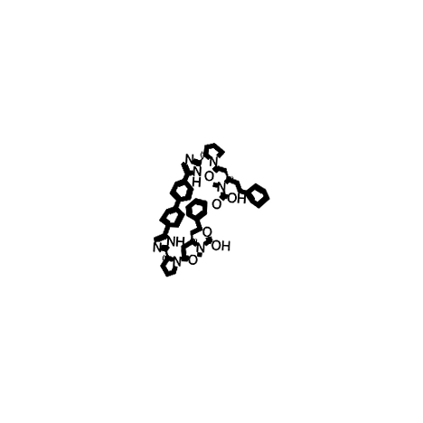 CN(C(=O)O)[C@H](CCc1ccccc1)CC(=O)N1CCC[C@H]1c1ncc(-c2ccc(-c3ccc(-c4cnc([C@@H]5CCCN5C(=O)C[C@@H](CCc5ccccc5)N(C)C(=O)O)[nH]4)cc3)cc2)[nH]1